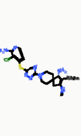 C=NC1=C(SC)[C@@H](N)C2(CCN(c3ncc(Sc4ccnc(N)c4Cl)nn3)CC2)C1